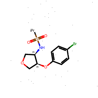 CC(C)S(=O)(=O)N[C@@H]1COC[C@@H]1Oc1ccc(Br)cc1